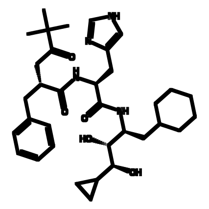 CC(C)(C)C(=O)C[C@@H](Cc1ccccc1)C(=O)N[C@@H](Cc1c[nH]cn1)C(=O)N[C@@H](CC1CCCCC1)[C@@H](O)[C@@H](O)C1CC1